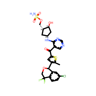 Cc1sc(C(=O)c2cncnc2N[C@@H]2C[C@H](COS(N)(=O)=O)[C@@H](O)C2)cc1C1OCC(F)(F)c2ccc(Cl)cc21